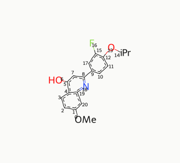 COc1ccc2c(O)cc(-c3ccc(OC(C)C)c(F)c3)nc2c1